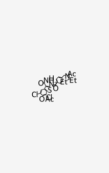 CCC(CC)N(Cc1ccc(C(=O)Nc2sc3c(Cl)c(OC(C)=O)c(Cl)cc3c2C(N)=O)cc1)C(C)=O